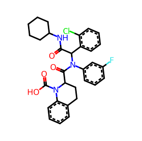 O=C(NC1CCCCC1)C(c1ccccc1Cl)N(C(=O)C1CCc2ccccc2N1C(=O)O)c1cccc(F)c1